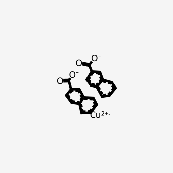 O=C([O-])c1ccc2ccccc2c1.O=C([O-])c1ccc2ccccc2c1.[Cu+2]